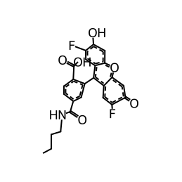 CCCCNC(=O)c1ccc(C(=O)O)c(-c2c3cc(F)c(=O)cc-3oc3cc(O)c(F)cc23)c1